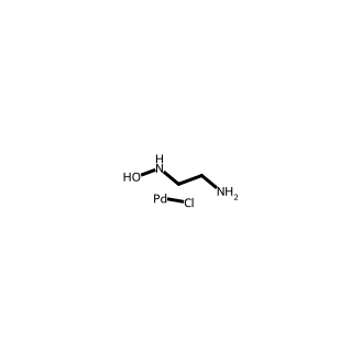 NCCNO.[Cl][Pd]